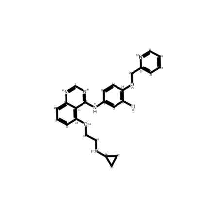 Clc1cc(Nc2ncnc3cccc(OCCNC4CC4)c23)ccc1OCc1ccccn1